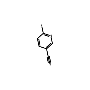 N#Cc1ccc([S])nc1